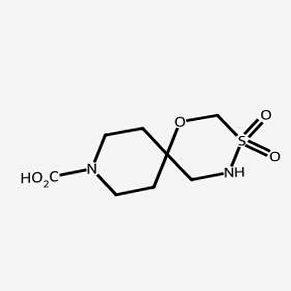 O=C(O)N1CCC2(CC1)CNS(=O)(=O)CO2